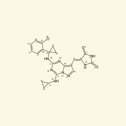 O=C1NC(=O)/C(=C/c2cnn3c(NC4CC4)nc(NC4(c5ccccc5Cl)CC4)nc23)N1